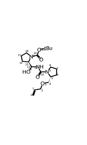 C=CCOC[C@H]1CCCN1C(=O)NC(O)[C@H]1CCCN1C(=O)OC(C)(C)C